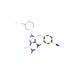 Cn1c(=O)c2c(nc(N3CCCC(N)C3)n2Cc2ccc(C#N)cc2)n(C)c1=O